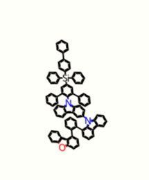 c1ccc(-c2ccc([Si](c3ccccc3)(c3ccccc3)c3cc(-c4ccccc4)c(-n4c5ccccc5c5cc(-n6c7ccccc7c7cccc(-c8ccccc8-c8cccc9oc%10ccccc%10c89)c76)ccc54)c(-c4ccccc4)c3)cc2)cc1